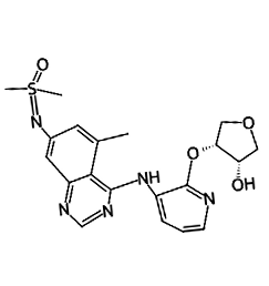 Cc1cc(N=S(C)(C)=O)cc2ncnc(Nc3cccnc3O[C@@H]3COC[C@@H]3O)c12